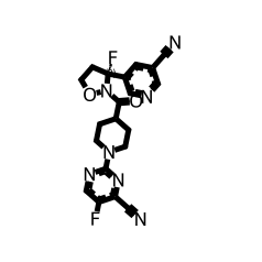 N#Cc1cncc([C@]2(F)CCON2C(=O)C2CCN(c3ncc(F)c(C#N)n3)CC2)c1